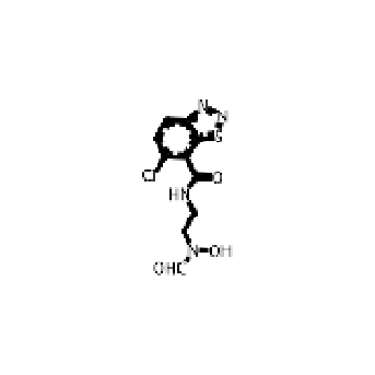 O=CN(O)CCNC(=O)c1c(Cl)ccc2nnsc12